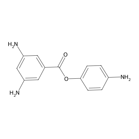 Nc1ccc(OC(=O)c2cc(N)cc(N)c2)cc1